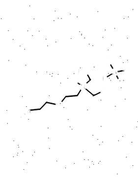 CC[N+](C)(CC)CCOCCOC.F[B-](F)(F)F